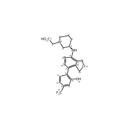 O=C(O)CN1CCC[C@@H](Nc2nnc(-c3ccc(C(F)(F)F)cc3O)c3c2COC3)C1